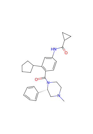 CN1CCN(C(=O)c2ccc(NC(=O)C3CC3)cc2C2CCCC2)[C@@H](c2ccccc2)C1